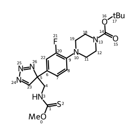 COC(=S)NCC1(c2ccc(N3CCN(C(=O)OC(C)(C)C)CC3)c(F)c2)C=NN=N1